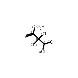 C=C(C(=O)O)C(Cl)(Cl)C(Cl)Cl